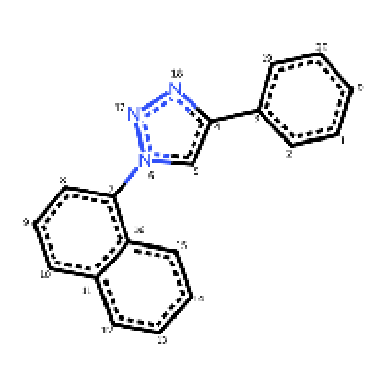 c1ccc(-c2cn(-c3cccc4ccccc34)nn2)cc1